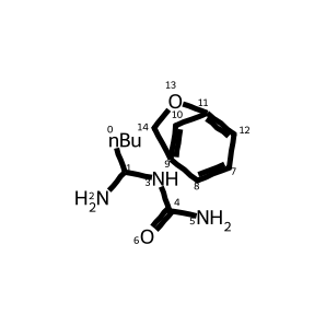 CCCCC(N)NC(N)=O.c1cc2cc(c1)OC2